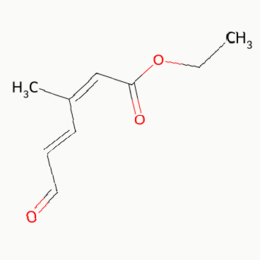 CCOC(=O)C=C(C)C=CC=O